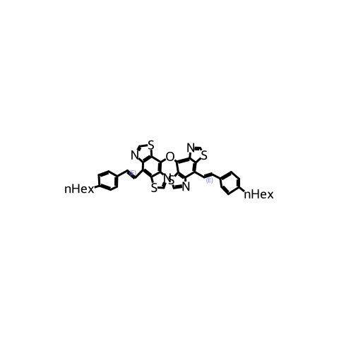 CCCCCCc1ccc(/C=C/c2c3ncsc3c(Oc3c4ncsc4c(/C=C/c4ccc(CCCCCC)cc4)c4ncsc34)c3ncsc23)cc1